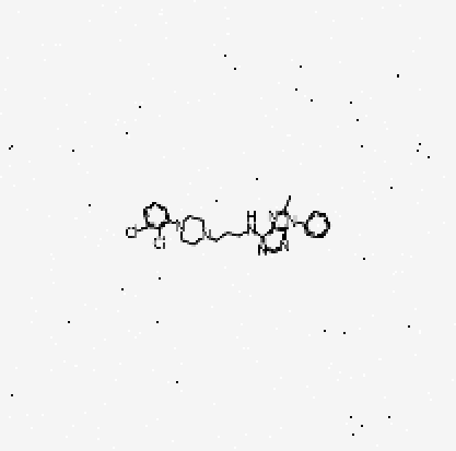 Cc1nc2c(NCCCN3CCN(c4cccc(Cl)c4Cl)CC3)ncnc2n1-c1ccccc1